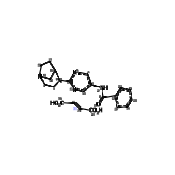 O=C(Nc1cnc(N2CCN3CCC2C3)nc1)c1ccccc1.O=C(O)/C=C/C(=O)O